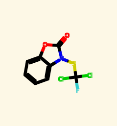 O=c1oc2ccccc2n1SC(F)(Cl)Cl